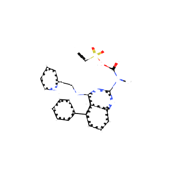 C=CS(=O)(=O)OC(=O)N(c1nc(NCc2ccccn2)c2c(-c3ccccc3)cccc2n1)C(C)(C)C